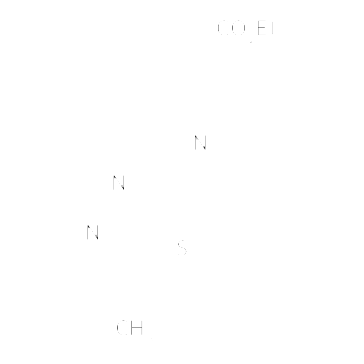 CCOC(=O)Cc1cn2nc(C)sc2n1